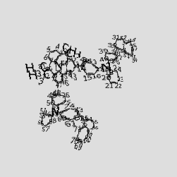 CC1(C)c2cccc3c2-n2c4c1cc(-c1ccc(N(c5ccccc5)c5ccc(-c6cccc7ccccc67)cc5)cc1)cc4c1cc(C4C=CC(N(c5ccccc5)c5ccc(-c6cccc7ccccc67)cc5)=CC4)cc(c12)C3(C)C